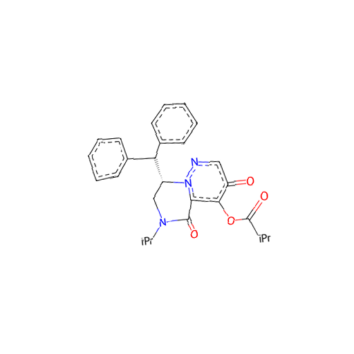 CC(C)C(=O)Oc1c2n(ncc1=O)[C@@H](C(c1ccccc1)c1ccccc1)CN(C(C)C)C2=O